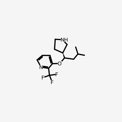 CC(C)CC(Oc1cccnc1C(F)(F)F)[C@H]1CCNC1